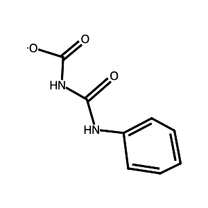 [O]C(=O)NC(=O)Nc1ccccc1